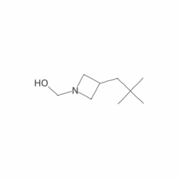 CC(C)(C)CC1CN(CO)C1